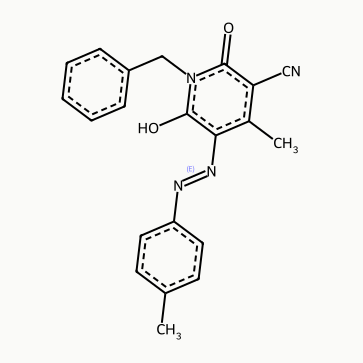 Cc1ccc(/N=N/c2c(C)c(C#N)c(=O)n(Cc3ccccc3)c2O)cc1